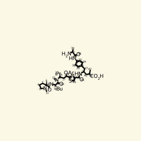 CCC(C)C(NC(=O)[C@@]1(C)CCCN1C)C(=O)N(C)C(CC(OC(C)=O)c1nc(C(=O)NC(Cc2ccc(NC(=O)C(C)N)cc2)CC(C)C(=O)O)cs1)C(C)C